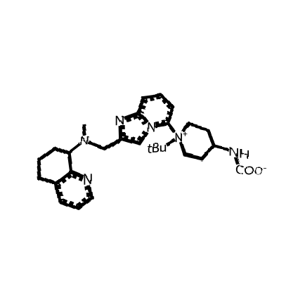 CN(Cc1cn2c([N+]3(C(C)(C)C)CCC(NC(=O)[O-])CC3)cccc2n1)C1CCCc2cccnc21